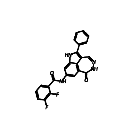 O=C(Nc1cc2c3c(c(-c4ccccc4)[nH]c3c1)C=NNC2=O)c1cccc(F)c1F